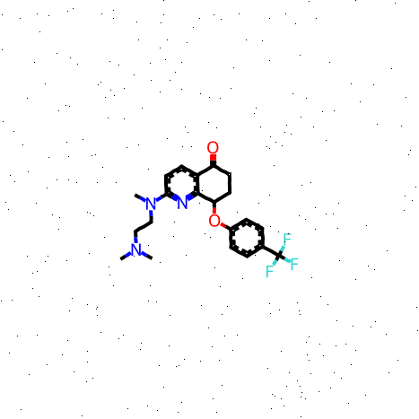 CN(C)CCN(C)c1ccc2c(n1)C(Oc1ccc(C(F)(F)F)cc1)CCC2=O